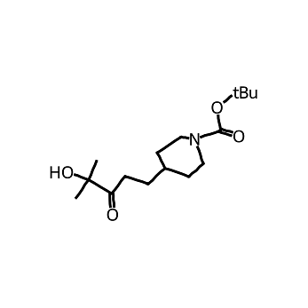 CC(C)(C)OC(=O)N1CCC(CCC(=O)C(C)(C)O)CC1